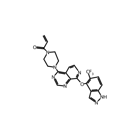 C=CC(=O)N1CCN(c2ncnc3c(Oc4c(C(F)(F)F)ccc5[nH]ncc45)nccc23)CC1